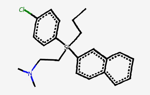 CCC[Si](CCN(C)C)(c1ccc(Cl)cc1)c1ccc2ccccc2c1